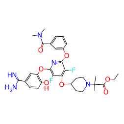 CCOC(=O)C(C)(C)N1CCC(Oc2c(F)c(Oc3cccc(C(=O)N(C)C)c3)nc(Oc3cc(C(=N)N)ccc3O)c2F)CC1